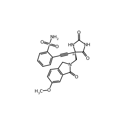 COc1ccc2c(c1)C(=O)N(C[C@@]1(C#Cc3ccccc3S(N)(=O)=O)NC(=O)NC1=O)C2